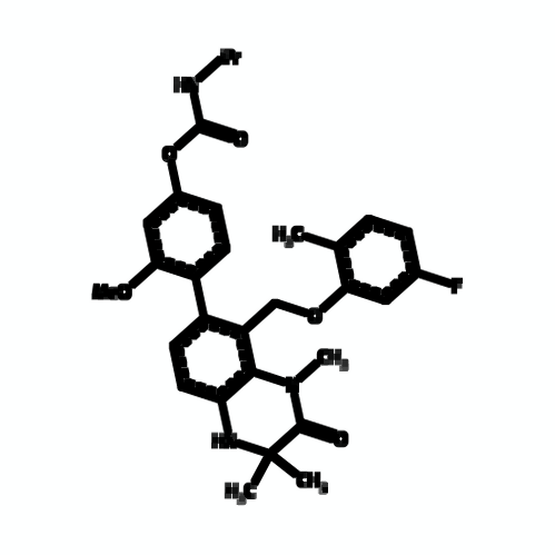 COc1cc(OC(=O)NC(C)C)ccc1-c1ccc2c(c1COc1cc(F)ccc1C)N(C)C(=O)C(C)(C)N2